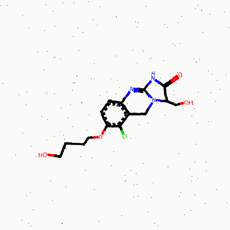 O=C1NC2=Nc3ccc(OCCCCO)c(Cl)c3CN2C1CO